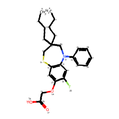 CCCCC1(CCCC)CSc2cc(OCC(=O)O)c(F)cc2N(c2ccccc2)C1